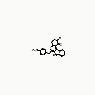 COc1ccc(Cc2nc3c(c4c2[nH]c2ccccc24)C(=O)C(Br)CC3)cc1